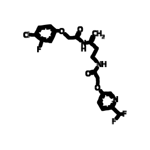 C=C(CCNC(=O)COc1ccc(C(F)F)nc1)NC(=O)COc1ccc(Cl)c(F)c1